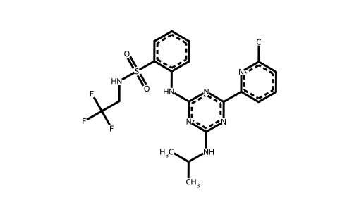 CC(C)Nc1nc(Nc2ccccc2S(=O)(=O)NCC(F)(F)F)nc(-c2cccc(Cl)n2)n1